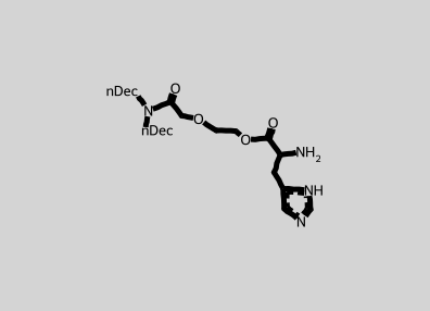 CCCCCCCCCCN(CCCCCCCCCC)C(=O)COCCOC(=O)C(N)Cc1cnc[nH]1